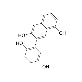 Oc1ccc(O)c(-c2cc3c(O)cccc3cc2O)c1